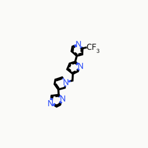 FC(F)(F)c1cc(-c2ccc(CN3C=CC=C(c4cnccn4)C3)cn2)ccn1